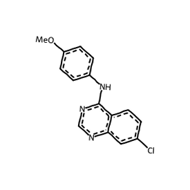 COc1ccc(Nc2ncnc3cc(Cl)ccc23)cc1